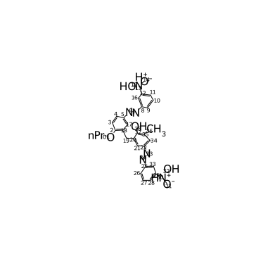 CCCOc1ccc(N=Nc2cccc([NH+]([O-])O)c2)cc1Cc1cc(N=Nc2cccc([NH+]([O-])O)c2)cc(C)c1O